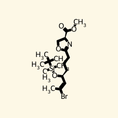 COC(=O)[C@@H]1COC(CCC[C@@H](/C=C(\C)Br)O[Si](C)(C)C(C)(C)C)=N1